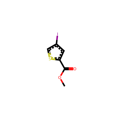 COC(=O)c1cc(I)cs1